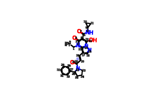 CC(C)Cn1c(=O)c(C(=O)NC2CC2)c(O)n2ncc(/C=C/C(=O)N3CCC[C@H]3c3ccccc3)c12